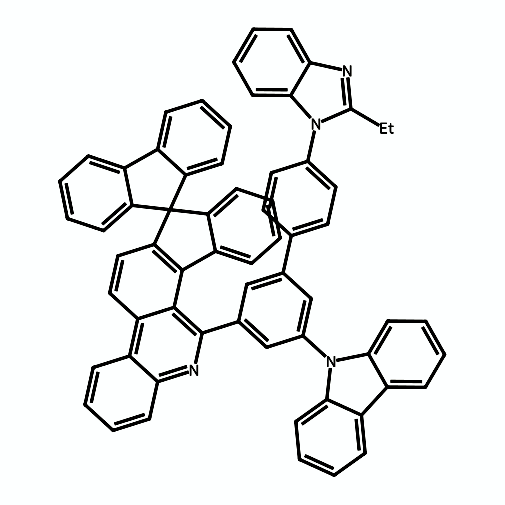 CCc1nc2ccccc2n1-c1ccc(-c2cc(-c3nc4ccccc4c4ccc5c(c34)-c3ccccc3C53c4ccccc4-c4ccccc43)cc(-n3c4ccccc4c4ccccc43)c2)cc1